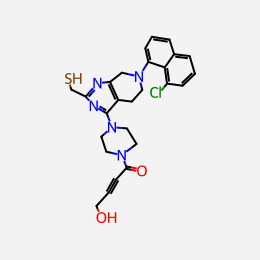 O=C(C#CCO)N1CCN(c2nc(CS)nc3c2CCN(c2cccc4cccc(Cl)c24)C3)CC1